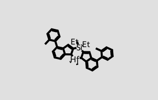 CC[Si]1(CC)C2=Cc3c(-c4ccccc4C)cccc3[CH]2[Hf]([CH3])([CH3])[CH]2C1=Cc1c(-c3ccccc3C)cccc12